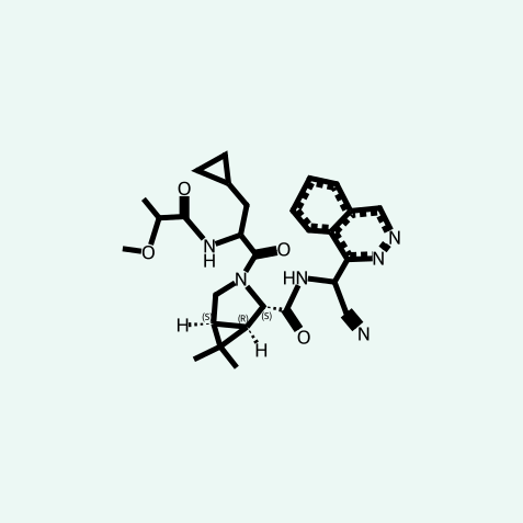 COC(C)C(=O)NC(CC1CC1)C(=O)N1C[C@H]2[C@@H]([C@H]1C(=O)NC(C#N)c1nncc3ccccc13)C2(C)C